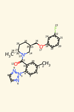 Cc1ccc(-n2nccn2)c(C(=O)N2C[C@H](COc3cccc(F)c3)CC[C@H]2C)c1